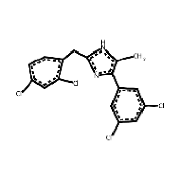 Cc1[nH]c(Cc2ccc(Cl)cc2Cl)nc1-c1cc(Cl)cc(Cl)c1